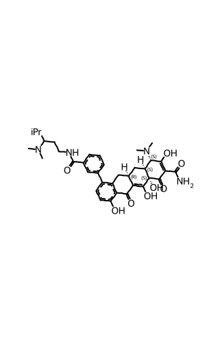 CC(C)C(CCNC(=O)c1cccc(-c2ccc(O)c3c2C[C@H]2C[C@H]4[C@H](N(C)C)C(O)=C(C(N)=O)C(=O)[C@@]4(O)C(O)=C2C3=O)c1)N(C)C